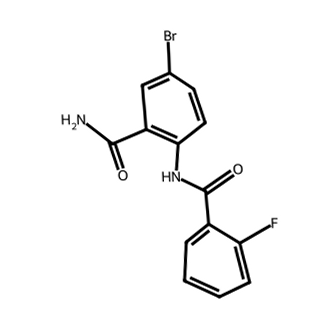 NC(=O)c1cc(Br)ccc1NC(=O)c1ccccc1F